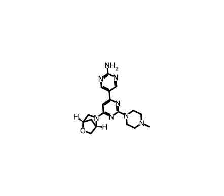 CN1CCN(c2nc(-c3cnc(N)nc3)cc(N3C[C@@H]4C[C@H]3CO4)n2)CC1